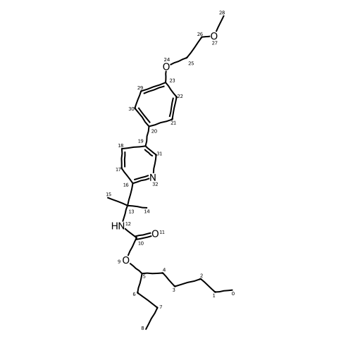 CCCCCC(CCC)OC(=O)NC(C)(C)c1ccc(-c2ccc(OCCOC)cc2)cn1